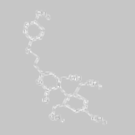 CCc1cc(C)cc(CC)c1-c1c(O)cc(CCSc2ccc(C)cc2)oc1=O